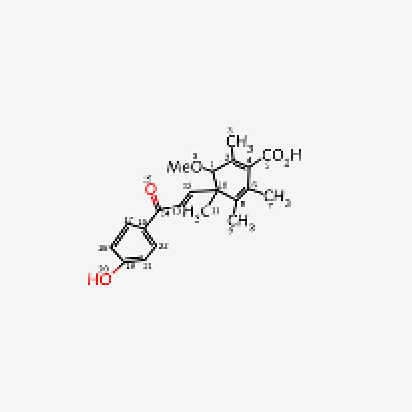 COC1C(C)=C(C(=O)O)C(C)=C(C)C1(C)C=CC(=O)c1ccc(O)cc1